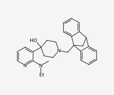 CCN(C)c1ncccc1C1(O)CCN(CC23CC(c4ccccc42)c2ccccc23)CC1